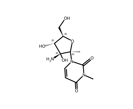 Cn1c(=O)ccn([C@]2(C)O[C@H](CO)[C@@H](O)[C@@]2(N)O)c1=O